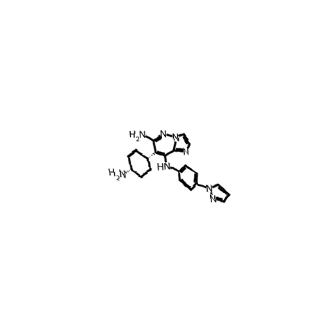 Nc1nn2ccnc2c(Nc2ccc(-n3cccn3)cc2)c1[C@H]1CC[C@@H](N)CC1